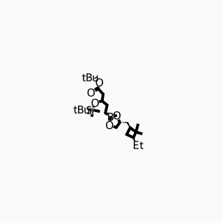 CC[C@H]1C[C@@H](C[C@@H]2COB(CCC(CC(=O)OC(C)(C)C)O[Si](C)(C)C(C)(C)C)O2)C1(C)C